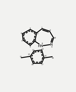 C1=Cc2ccccc2NN=C1.Cc1ccc(C)cc1